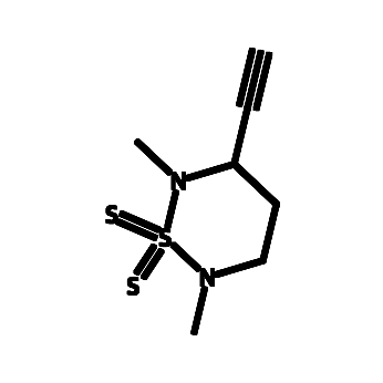 C#CC1CCN(C)S(=S)(=S)N1C